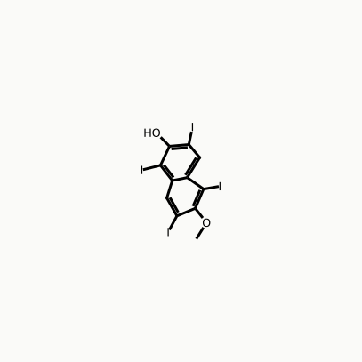 COc1c(I)cc2c(I)c(O)c(I)cc2c1I